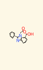 O=CCn1c(-c2ccccc2)nc2cccc(C(=O)O)c21